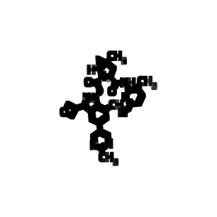 Cc1ncc(-c2cc(C)c3c(c2)c(C2COC2)nn3CC(=O)N2[C@H](C(=O)Nc3nc(Br)ccc3C)C[C@@]3(C)C[C@@H]23)cn1